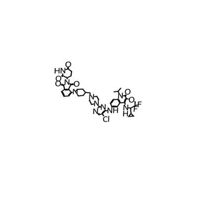 CC(C)n1c(=O)c2c(c3cc(Nc4nc(N5CCN(CC6CCN(c7cccc8c7C(=O)N(C7CCC(=O)NC7=O)C8=O)CC6)CC5)ncc4Cl)ccc31)NC(C1CC1)C(F)(F)CO2